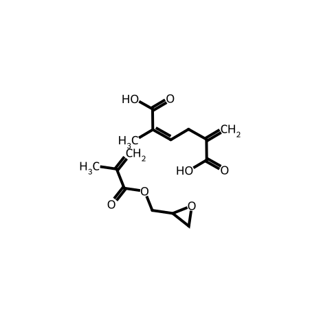 C=C(C)C(=O)OCC1CO1.C=C(CC=C(C)C(=O)O)C(=O)O